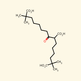 CC(C)(CCCCCC(=O)C(CCCCC(C)(C)C(=O)O)C(=O)O)C(=O)O